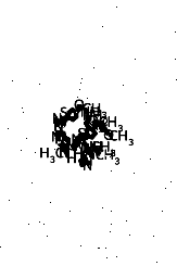 CNC(=O)C1CCc2c(sc3ncncc23)C1.COCCN(C)C(=O)C1CCc2c(sc3nc(Nc4cc5ccnn5cc4N(C)C)nc(Nc4cc5ccnn5cc4N(C)C)c23)C1CCN